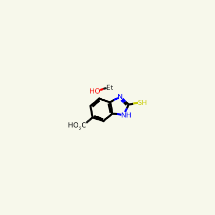 CCO.O=C(O)c1ccc2nc(S)[nH]c2c1